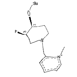 C[n+]1ccccc1N1CC[C@H](OC(C)(C)C)[C@H](F)C1